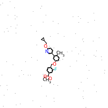 COC(=O)c1ccc(COc2ccc(C)c(-c3ccc(OCC4CC4)nc3)c2)c(F)c1